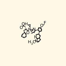 Cn1ccc2cc(-c3ccc(OCF)cc3-c3csc(N(C(=O)[C@@H](CC(=O)O)Cc4ccccc4)C4CC4)n3)cnc21